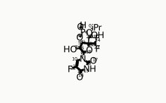 CC(C)O[PH](=O)O[C@H]1[C@H](O)[C@H](n2cc(F)c(=O)[nH]c2=O)O[C@@]1(CO)C(F)F